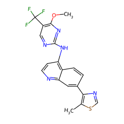 COc1nc(Nc2ccnc3cc(-c4ncsc4C)ccc23)ncc1C(F)(F)F